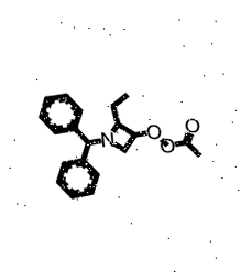 CCC1C(OOC(C)=O)CN1C(c1ccccc1)c1ccccc1